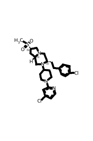 CS(=O)(=O)[C@H]1C[C@H]2CN(C3CCN(c4cc(Cl)ccn4)CC3)[C@@H](CCc3ccc(Cl)cc3)CN2C1